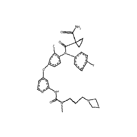 CN(CCCN1CCC1)C(=O)Nc1cc(Oc2ccc(N(C(=O)C3(C(N)=O)CC3)c3ccc(F)cc3)c(F)c2)ccn1